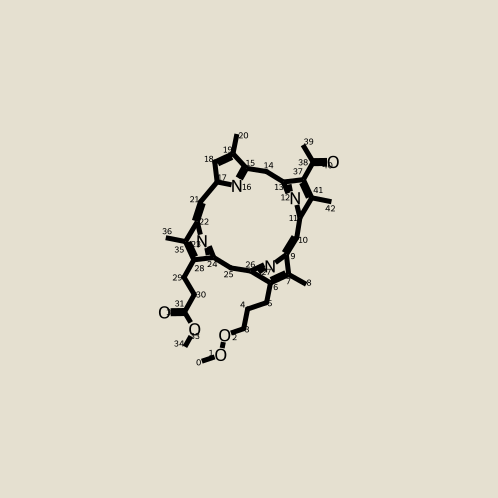 COOCCCC1=C(C)/C2=C/C3N=C(CC4=NC(C=C4C)/C=C4\N=C(CC1=N2)C(CCC(=O)OC)=C4C)C(C(C)=O)=C3C